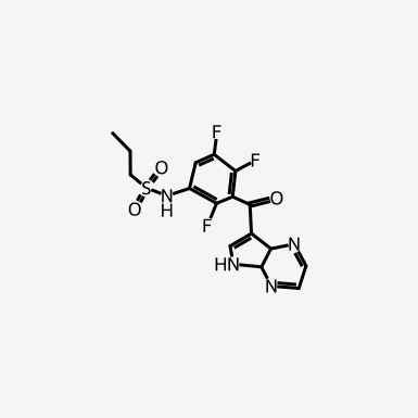 CCCS(=O)(=O)Nc1cc(F)c(F)c(C(=O)C2=CNC3N=CC=NC23)c1F